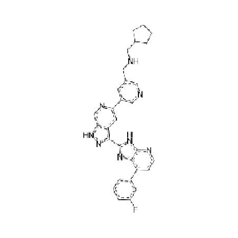 Fc1cccc(-c2ccnc3[nH]c(-c4n[nH]c5cnc(-c6cncc(CNCC7CCCC7)c6)cc45)nc23)c1